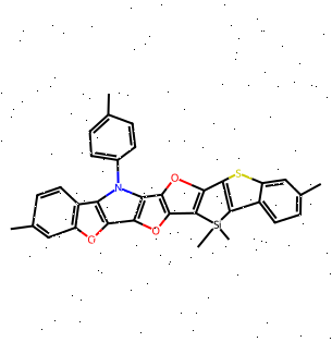 Cc1ccc(-n2c3c4ccc(C)cc4oc3c3oc4c5c(oc4c32)-c2sc3cc(C)ccc3c2[Si]5(C)C)cc1